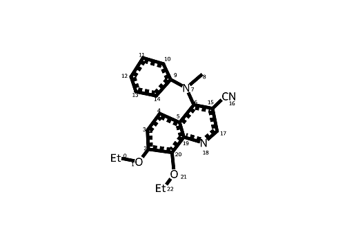 CCOc1ccc2c(N(C)c3ccccc3)c(C#N)cnc2c1OCC